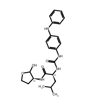 CC(C)C[C@H](NC(=O)Nc1ccc(Nc2ccccc2)cc1)C(=O)N[C@H]1CCOC1O